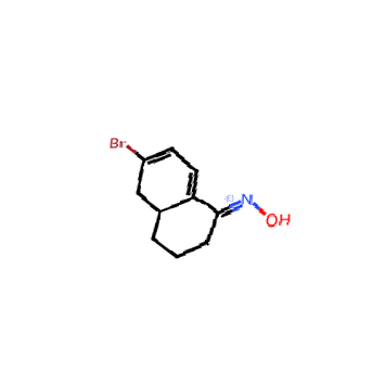 O/N=C1\CCCC2CC(Br)=CC=C12